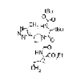 C=C[C@@H]1C[C@]1(NC(=O)[C@@H]1C[C@@H](n2nnnc2C)CN1C(=O)[C@@H](NC(=O)OC(C)(C)C)C(C)(C)C)C(=O)OCC